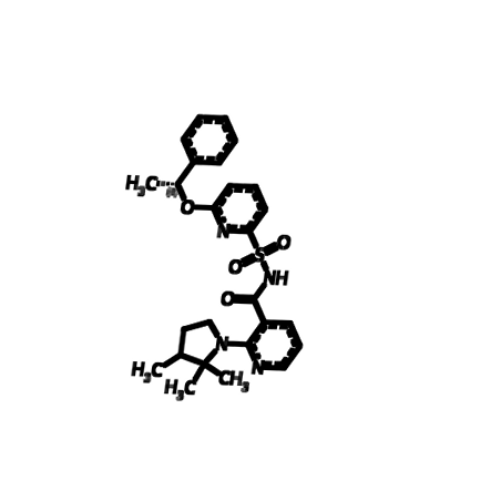 CC1CCN(c2ncccc2C(=O)NS(=O)(=O)c2cccc(O[C@H](C)c3ccccc3)n2)C1(C)C